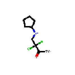 COC(=O)C(Cl)(Cl)CNC1CCCC1